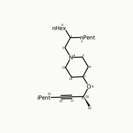 CCCCCCC(CCCCC)CN1CCC(O[C@@H](C)C#CC(C)CCC)CC1